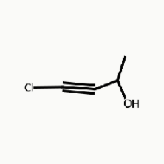 CC(O)C#CCl